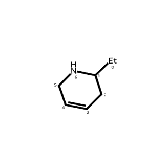 CCC1CC=CCN1